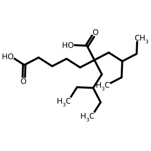 CCC(CC)CC(CCCCC(=O)O)(CC(CC)CC)C(=O)O